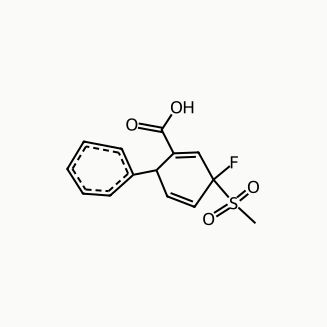 CS(=O)(=O)C1(F)C=CC(c2ccccc2)C(C(=O)O)=C1